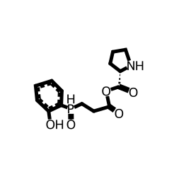 O=C(CC[PH](=O)c1ccccc1O)OC(=O)[C@@H]1CCCN1